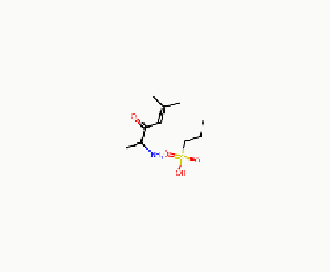 CC(C)=CC(=O)C(C)N.CCCS(=O)(=O)O